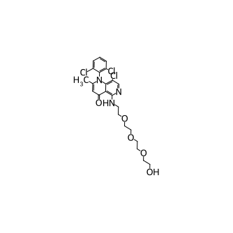 Cc1cc(=O)c2c(NCCOCCOCCOCCO)ncc(Cl)c2n1-c1c(Cl)cccc1Cl